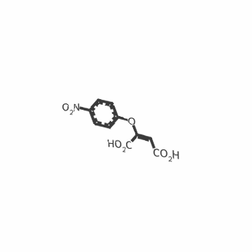 O=C(O)/C=C(/Oc1ccc([N+](=O)[O-])cc1)C(=O)O